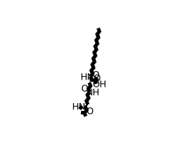 CCCCCCCCCCCCCCCC(=O)N[C@@H](CCC(=O)NCCCC[C@H](NC)C(=O)C(C)C)C(=O)O